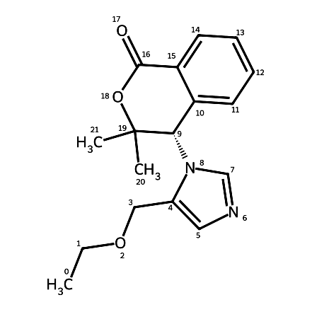 CCOCc1cncn1[C@H]1c2ccccc2C(=O)OC1(C)C